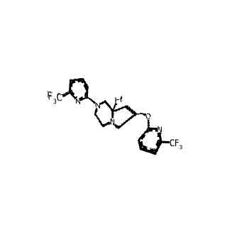 FC(F)(F)c1cccc(O[C@@H]2C[C@H]3CN(c4cccc(C(F)(F)F)n4)CCN3C2)n1